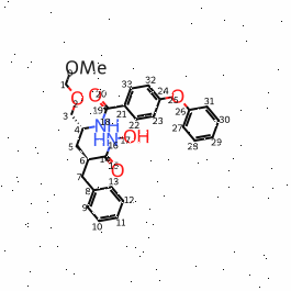 COCOC[C@@H](C[C@H](Cc1ccccc1)C(=O)NO)NC(=O)c1ccc(Oc2ccccc2)cc1